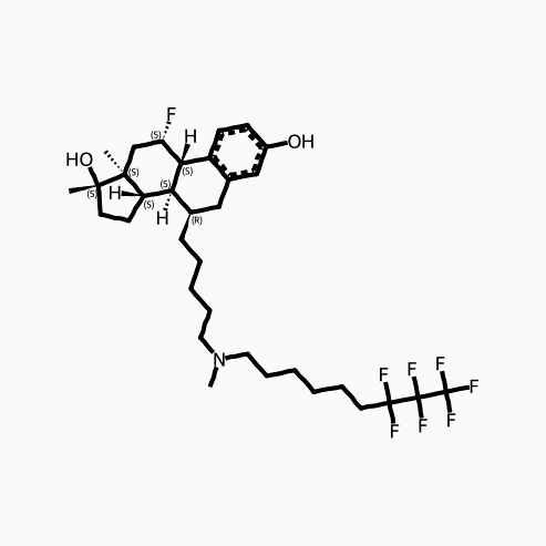 CN(CCCCCCC(F)(F)C(F)(F)C(F)(F)F)CCCCC[C@@H]1Cc2cc(O)ccc2[C@@H]2[C@@H]1[C@@H]1CC[C@](C)(O)[C@@]1(C)C[C@@H]2F